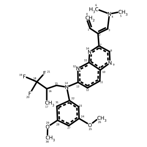 C=C/C(=C\N(C)C)c1cnc2ccc(N(CC(C)C(F)(F)F)c3cc(OC)cc(OC)c3)nc2n1